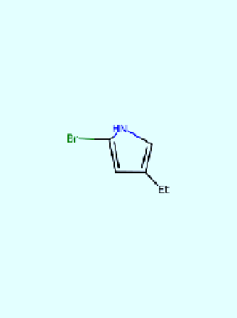 CCc1c[nH]c(Br)c1